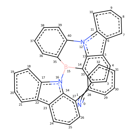 N#Cc1ccc2c3ccccc3n3c2c1B(n1c2ccccc2c2cccc(-c4ccccc4)c21)c1ccccc1-3